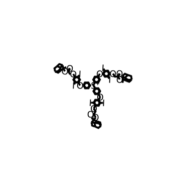 CC1(OC(=O)COc2cc(I)c(Oc3ccc([S+](c4ccc(Oc5cc(I)c(OCC(=O)OC6(C)C7CC8CC(C7)CC6C8)cc5I)cc4)c4ccc(Oc5cc(I)c(OCC(=O)OC6(C)C7CC8CC(C7)CC6C8)cc5I)cc4)cc3)cc2I)C2CC3CC(C2)CC1C3